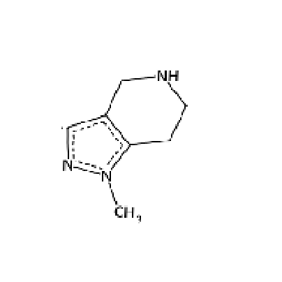 Cn1n[c]c2c1CCNC2